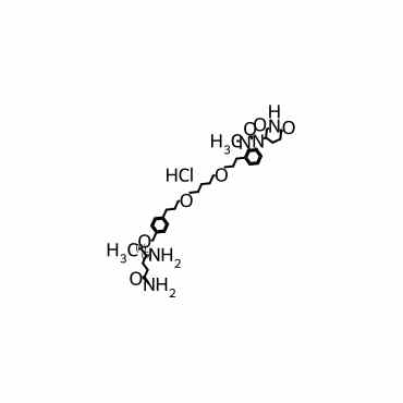 C[C@@H](OCc1ccc(CCCOCCCCCOCCCc2cccc3c2n(C)c(=O)n3C2CCC(=O)NC2=O)cc1)[C@@H](N)CCC(N)=O.Cl